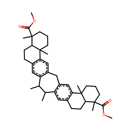 COC(=O)C1(C)CCCC2(C)c3cc4c(cc3CCC12)C(C)C(C)c1cc2c(cc1C4)C1(C)CCCC(C)(C(=O)OC)C1CC2